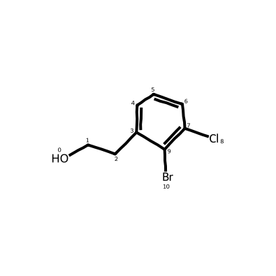 OCCc1cccc(Cl)c1Br